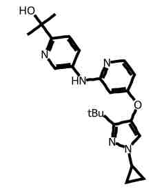 CC(C)(C)c1nn(C2CC2)cc1Oc1ccnc(Nc2ccc(C(C)(C)O)nc2)c1